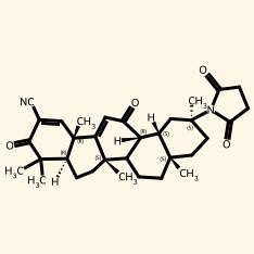 CC1(C)C(=O)C(C#N)=C[C@]2(C)C3=CC(=O)[C@H]4C(CC[C@@]5(C)CC[C@](C)(N6C(=O)CCC6=O)C[C@@H]45)[C@]3(C)CC[C@@H]12